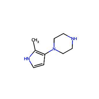 Cc1[nH]ccc1N1CCNCC1